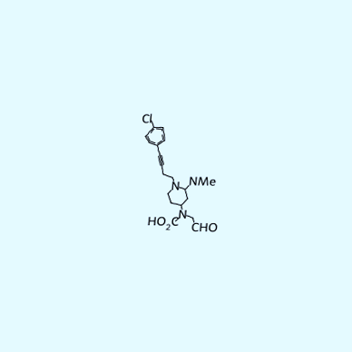 CNC1CC(N(CC=O)C(=O)O)CCN1CCC#Cc1ccc(Cl)cc1